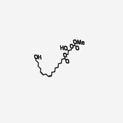 COC(=O)OCC(O)COC(=O)CCCCCCC/C=C\C/C=C\CCCCO